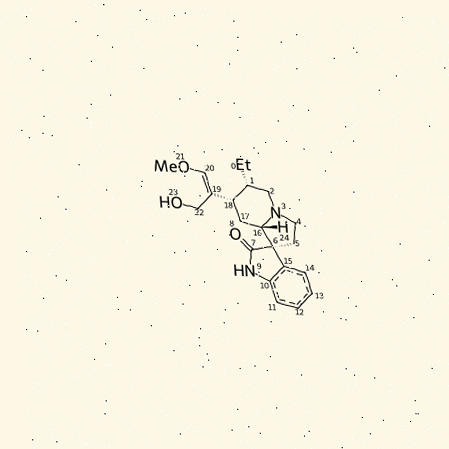 CC[C@@H]1CN2CC[C@]3(C(=O)Nc4ccccc43)[C@@H]2C[C@@H]1/C(=C/OC)CO